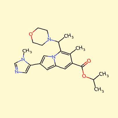 Cc1c(C(=O)OC(C)C)cc2cc(-c3cncn3C)cn2c1C(C)N1CCOCC1